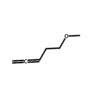 C=C=CCCOC